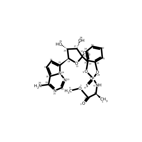 COC(=O)[C@H](C)NP(=S)(OC[C@@]1(C)O[C@@H](c2ccc3c(N)ncnn23)[C@H](O)[C@@H]1O)Oc1ccccc1